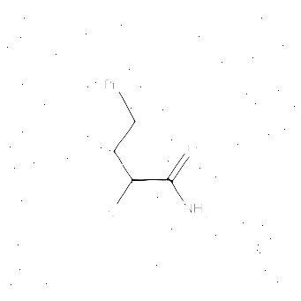 C[C](CCC(C)C)C(N)=O